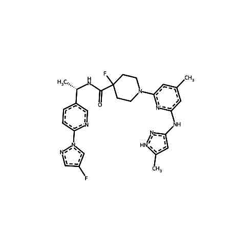 Cc1cc(Nc2cc(C)[nH]n2)nc(N2CCC(F)(C(=O)N[C@@H](C)c3ccc(-n4cc(F)cn4)nc3)CC2)c1